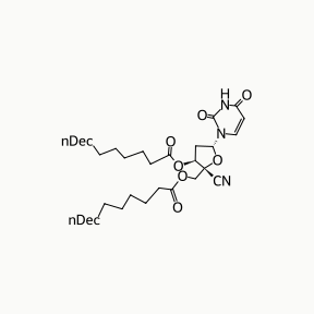 CCCCCCCCCCCCCCCC(=O)OC[C@@]1(C#N)O[C@@H](n2ccc(=O)[nH]c2=O)C[C@@H]1OC(=O)CCCCCCCCCCCCCCC